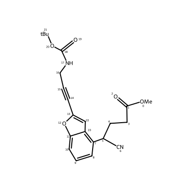 COC(=O)CCC(C#N)c1cccc2oc(C#CCNC(=O)OC(C)(C)C)cc12